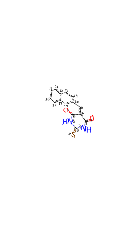 O=C1NC(=S)NC(=O)C1=Cc1ccc2ccccc2c1